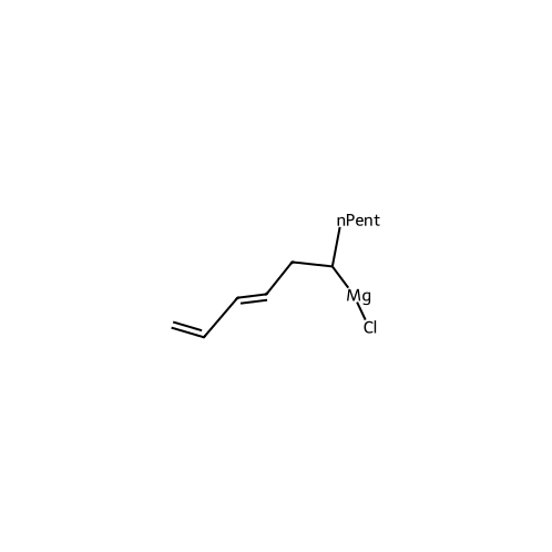 C=CC=CC[CH](CCCCC)[Mg][Cl]